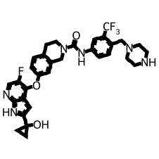 O=C(Nc1ccc(CN2CCNCC2)c(C(F)(F)F)c1)N1CCc2ccc(Oc3c(F)cnc4[nH]c(C5(O)CC5)cc34)cc2C1